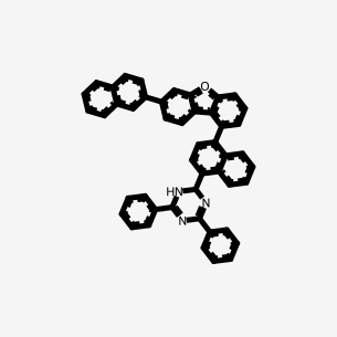 c1ccc(C2=NC(c3ccc(-c4cccc5oc6cc(-c7ccc8ccccc8c7)ccc6c45)c4ccccc34)NC(c3ccccc3)=N2)cc1